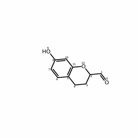 O=CC1CCc2ccc(O)cc2O1